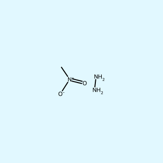 C[N+](=O)[O-].NN